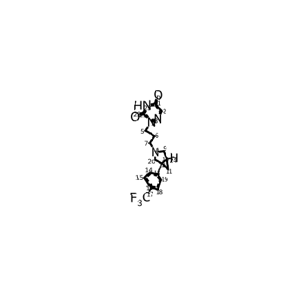 O=c1cnn(CCCN2C[C@@H]3C[C@]3(c3ccc(C(F)(F)F)cc3)C2)c(=O)[nH]1